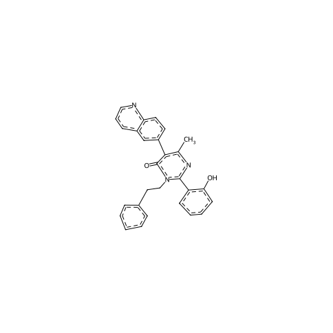 Cc1nc(-c2ccccc2O)n(CCc2ccccc2)c(=O)c1-c1ccc2ncccc2c1